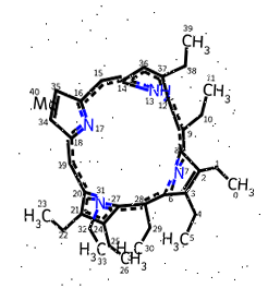 CCC1=C(CC)c2nc1c(CC)c1[nH]c(cc3nc(cc4c(CC)c(CC)c(c2CC)n4CC)C=C3)cc1CC.[Mo]